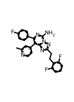 Cc1cc(-c2c(-c3ccc(F)cc3)nc(N)n3nc(CCc4c(F)cccc4F)nc23)ccn1